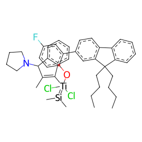 CCCCC1(CCCC)c2ccccc2-c2ccc(-c3cc(F)ccc3[O][Ti]([Cl])([Cl])([C]3=C(C)C(N4CCCC4)c4ccccc43)=[Si](C)C)cc21